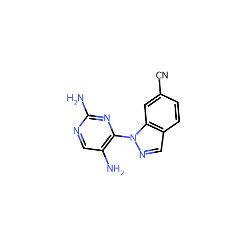 N#Cc1ccc2cnn(-c3nc(N)ncc3N)c2c1